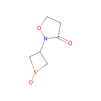 O=C1[CH]CON1C1C[S+]([O-])C1